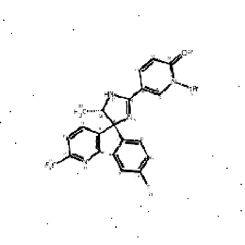 CCCn1cc(C2=N[C@](c3ccc(F)cc3)(c3ccc(C(F)(F)F)nc3)[C@H](C)N2)ccc1=O